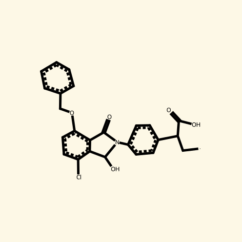 [CH2]CC(C(=O)O)c1ccc(N2C(=O)c3c(OCc4ccccc4)ccc(Cl)c3C2O)cc1